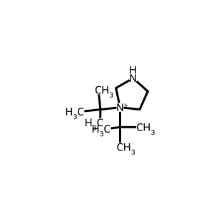 CC(C)(C)[N+]1(C(C)(C)C)CCNC1